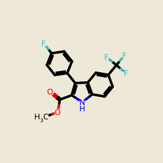 COC(=O)c1[nH]c2ccc(C(F)(F)F)cc2c1-c1ccc(F)cc1